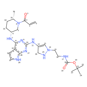 C=CC(=O)N1C[C@H](Nc2nc(NC3=CN(CCNC(=O)OC(C)(C)C)NC3)nc3[nH]ccc23)CC[C@@H]1C